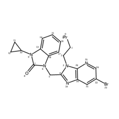 CC(C)CCn1c(Cn2c(=O)n(C3CC3)c3ccccc32)nc2cc(Br)cnc21